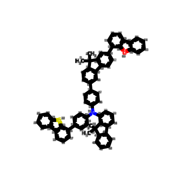 CC1(C)c2ccc(-c3ccc(N(c4ccc(-c5cccc6c5sc5ccccc56)cc4)c4cccc5c4C(C)(C)c4ccccc4-5)cc3)cc2-c2ccc(-c3cccc4c3oc3ccccc34)cc21